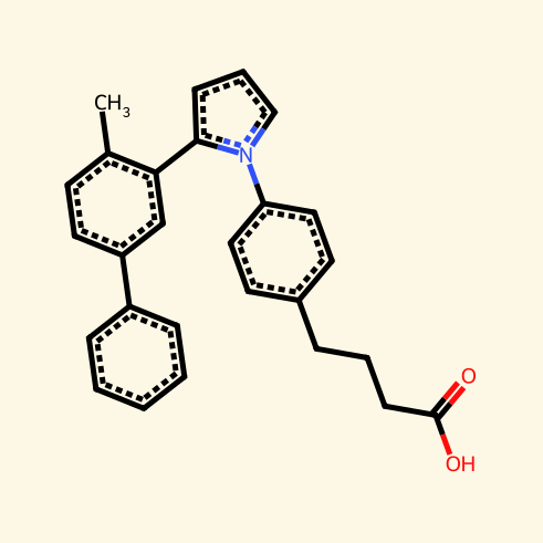 Cc1ccc(-c2ccccc2)cc1-c1cccn1-c1ccc(CCCC(=O)O)cc1